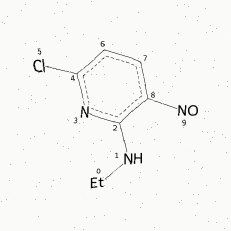 CCNc1nc(Cl)ccc1N=O